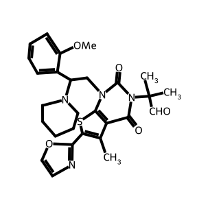 COc1ccccc1C(Cn1c(=O)n(C(C)(C)C=O)c(=O)c2c(C)c(-c3ncco3)sc21)N1CCCCC1